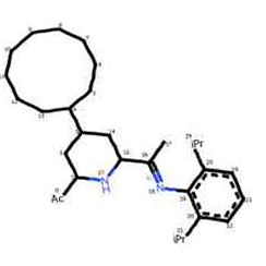 CC(=O)C1CC(C2CCCCCCCCC2)CC(/C(C)=N/c2c(C(C)C)cccc2C(C)C)N1